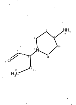 COC(C=O)N1CCC(N)CC1